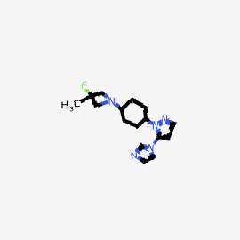 CC1(F)CN(C2CCC(n3nccc3-n3ccnc3)CC2)C1